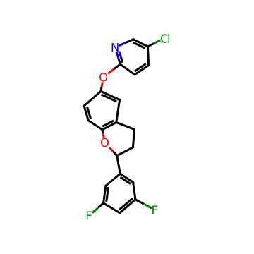 Fc1cc(F)cc(C2CCc3cc(Oc4ccc(Cl)cn4)ccc3O2)c1